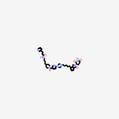 O=C(/C=C/c1cccnc1)NCCCCC1CCN(C(=O)c2ccc(N3CCN(CCCCCc4cccc5c4CN(C4CCC(=O)NC4=O)C5=O)CC3)nc2)CC1